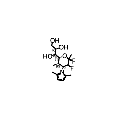 Cc1ccc(C)n1[C@H]1C(F)C(C)(F)O[C@@H]([C@H](O)[C@H](O)CO)[C@@H]1C